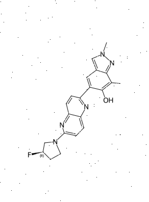 Cc1c(O)c(-c2ccc3nc(N4CC[C@@H](F)C4)ccc3n2)cc2cn(C)nc12